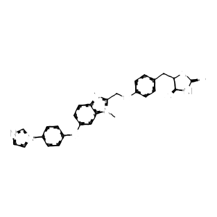 Cn1c(COc2ccc(CC3SC(=O)NC3=O)cc2)nc2ccc(Oc3ccc(-n4ccnc4)cc3)cc21